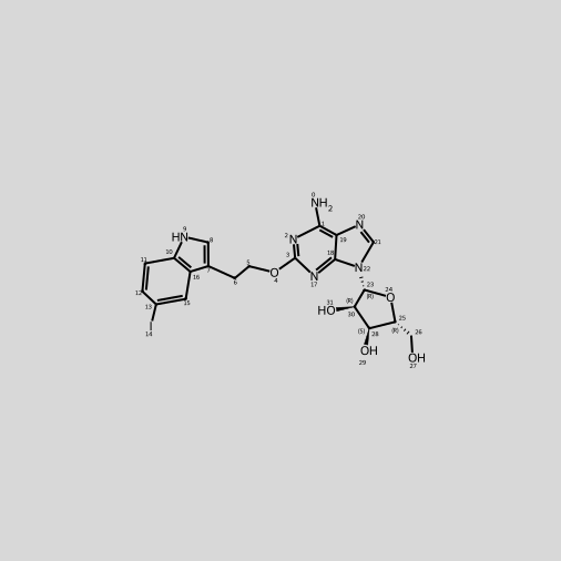 Nc1nc(OCCc2c[nH]c3ccc(I)cc23)nc2c1ncn2[C@@H]1O[C@H](CO)[C@@H](O)[C@H]1O